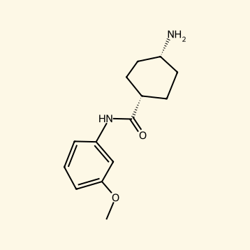 COc1cccc(NC(=O)[C@H]2CC[C@@H](N)CC2)c1